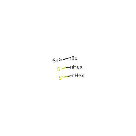 CCCCCC[S-].CCCCCC[S-].CCC[CH2][Sn+2]